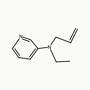 C=CCN(CC)c1cccnc1